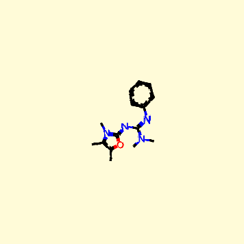 Cc1oc(=NC(=Nc2ccccc2)N(C)C)n(C)c1C